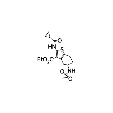 CCOC(=O)c1c(NC(=O)C2CC2)sc2c1CC(NS(C)(=O)=O)CC2